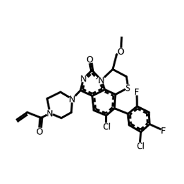 C=CC(=O)N1CCN(c2nc(=O)n3c4c(c(-c5cc(Cl)c(F)cc5F)c(Cl)cc24)SCC3COC)CC1